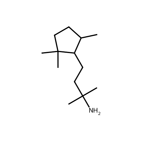 CC1CCC(C)(C)C1CCC(C)(C)N